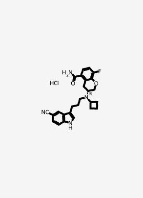 Cl.N#Cc1ccc2[nH]cc(CCCN(C3CCC3)[C@H]3COc4c(F)ccc(C(N)=O)c4C3)c2c1